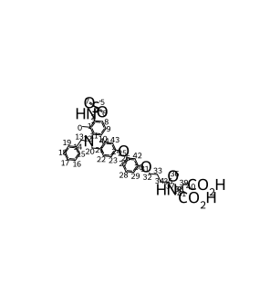 Cc1c(NS(C)(=O)=O)cccc1N(Cc1ccccc1)Cc1ccc(Oc2cccc(OCCCC(=O)N[C@@H](CC(=O)O)C(=O)O)c2)cc1